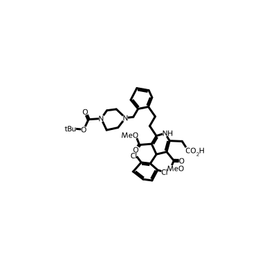 COC(=O)C1=C(CCc2ccccc2CN2CCN(C(=O)OC(C)(C)C)CC2)NC(CC(=O)O)=C(C(=O)OC)C1c1c(Cl)cccc1Cl